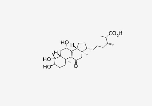 C=C(CCC[C@H]1CC[C@H]2C3=C(C(=O)C[C@]12C)[C@@]1(C)CC[C@@H](O)[C@](C)(O)[C@@H]1C[C@@H]3O)[C@H](C)C(=O)O